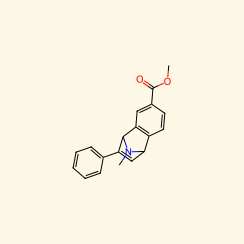 COC(=O)c1ccc2c(c1)C1C(c3ccccc3)=CC2N1C